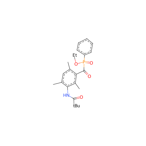 CCOP(=O)(C(=O)c1c(C)cc(C)c(NC(=O)C(C)(C)C)c1C)c1ccccc1